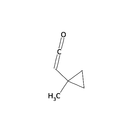 CC1(C=C=O)CC1